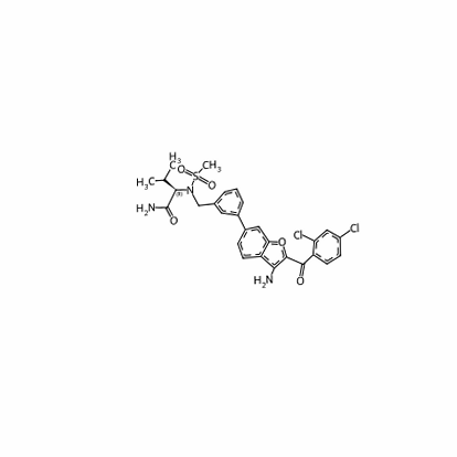 CC(C)[C@H](C(N)=O)N(Cc1cccc(-c2ccc3c(N)c(C(=O)c4ccc(Cl)cc4Cl)oc3c2)c1)S(C)(=O)=O